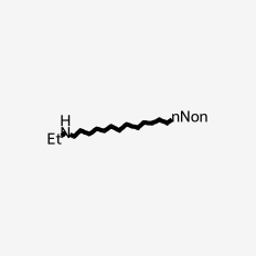 [CH2]CNCCCCCCCCCCCCCCCCCCCCCC